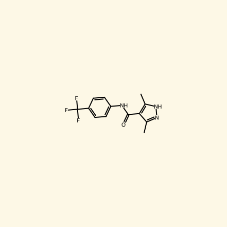 Cc1n[nH]c(C)c1C(=O)Nc1ccc(C(F)(F)F)cc1